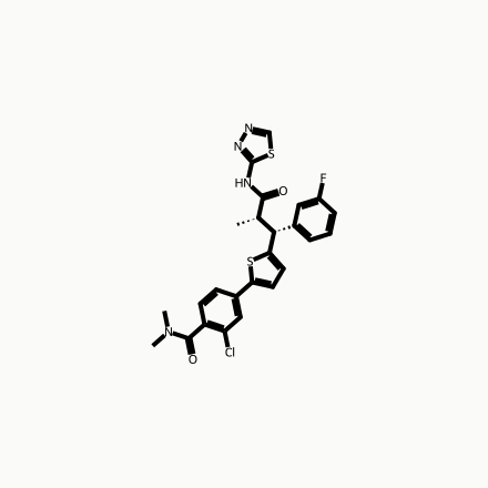 C[C@H](C(=O)Nc1nncs1)[C@H](c1cccc(F)c1)c1ccc(-c2ccc(C(=O)N(C)C)c(Cl)c2)s1